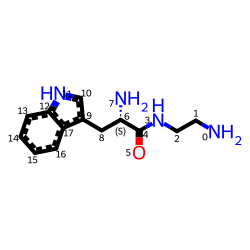 NCCNC(=O)[C@@H](N)Cc1c[nH]c2ccccc12